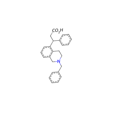 O=C(O)CC(c1ccccc1)c1cccc2c1CCN(Cc1ccccc1)C2